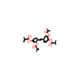 C=C(C)C(=O)Oc1ccc(C#Cc2ccc(OC(=O)C(=C)C)c(OC(=O)C(=C)C)c2)c(OC(=O)C(=C)C)c1